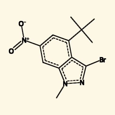 Cn1nc(Br)c2c(C(C)(C)C)cc([N+](=O)[O-])cc21